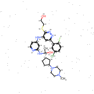 CN1CCN(C2CC[C@H](C(C)(O)Nc3cc(Nc4cc(-c5cc(Cl)ccc5F)nnc4SCCO)ccn3)C2)CC1